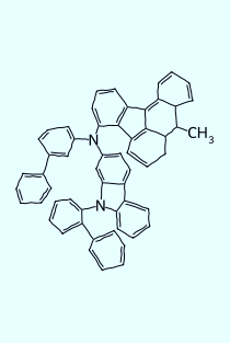 CC1C2C=CC=CC2=C2C3=C(C=CCC31)c1c2cccc1N(c1cccc(-c2ccccc2)c1)c1ccc2c3ccccc3n(-c3ccccc3-c3ccccc3)c2c1